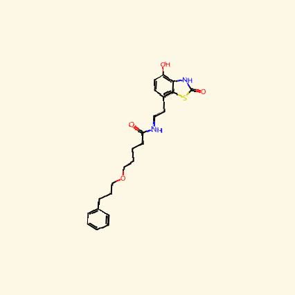 O=C(CCCCOCCCc1ccccc1)NCCc1ccc(O)c2[nH]c(=O)sc12